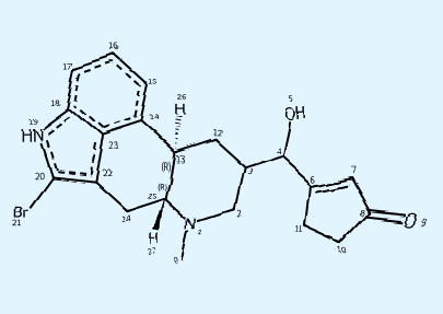 CN1CC(C(O)C2=CC(=O)CC2)C[C@@H]2c3cccc4[nH]c(Br)c(c34)C[C@H]21